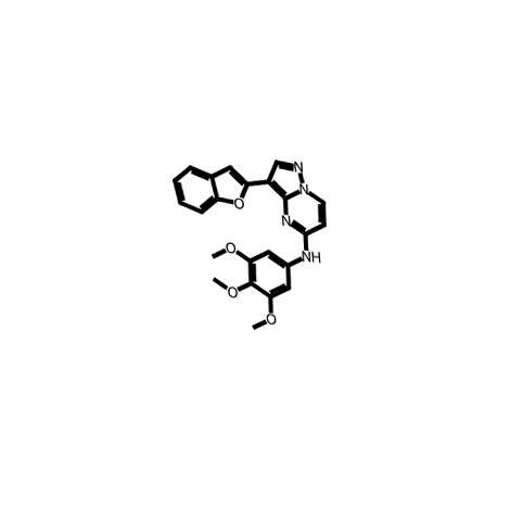 COc1cc(Nc2ccn3ncc(-c4cc5ccccc5o4)c3n2)cc(OC)c1OC